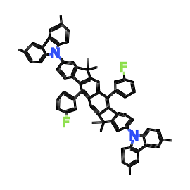 Cc1ccc2c(c1)c1cc(C)ccc1n2-c1ccc2c(c1)C(C)(C)c1cc3c(-c4cccc(F)c4)c4c(cc3c(-c3cccc(F)c3)c1-2)C(C)(C)c1cc(-n2c3ccc(C)cc3c3cc(C)ccc32)ccc1-4